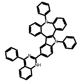 C1=CC2=C(c3ccccc3)N=C(c3ccc4c(c3)c3c(n4-c4ccccc4)-c4ccccc4N(c4ccccc4)c4ccccc4-3)NC2C=C1